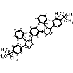 CC(C)(C)c1ccc(C2OCN(c3cccc(N4COC(c5ccc(C(C)(C)C)cc5)N4c4ccccc4)c3)N2c2ccccc2)cc1